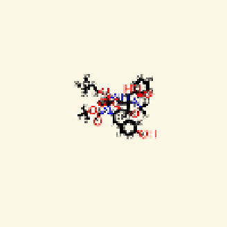 CC(C)(C)OC(=O)N1C(Cc2ccc(O)cc2)C(C2(C)OC(C)(C)N(C(=O)O)C2(CNC(=O)OCC[Si](C)(C)C)Cc2ccccc2)OC1(C)C